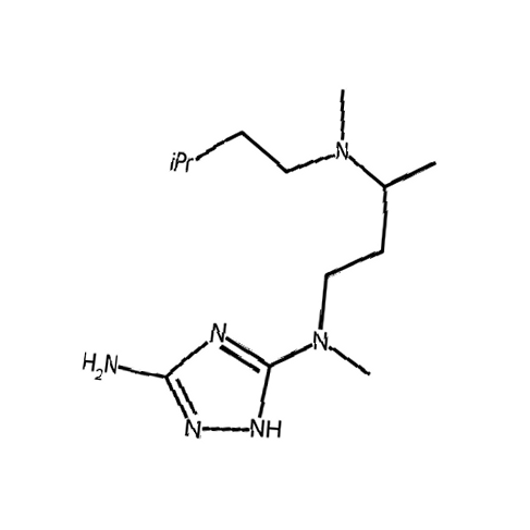 CC(C)CCN(C)C(C)CCN(C)c1nc(N)n[nH]1